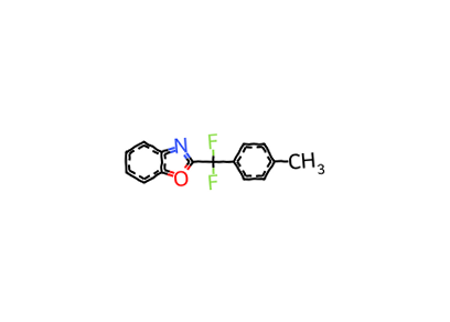 Cc1ccc(C(F)(F)c2nc3ccccc3o2)cc1